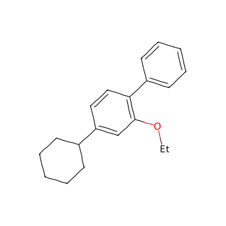 CCOc1cc(C2CCCCC2)ccc1-c1ccccc1